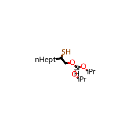 CCCCCCCC(S)CO[SiH](OC(C)C)OC(C)C